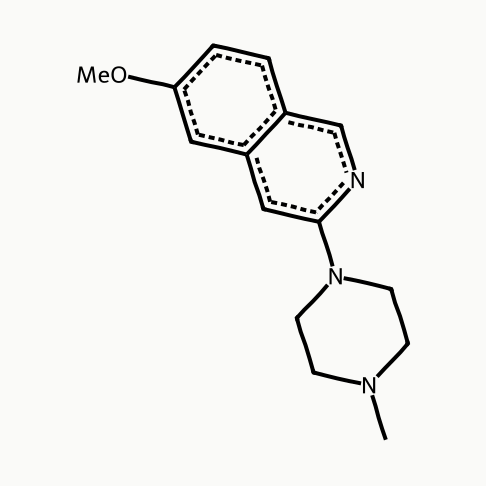 COc1ccc2cnc(N3CCN(C)CC3)cc2c1